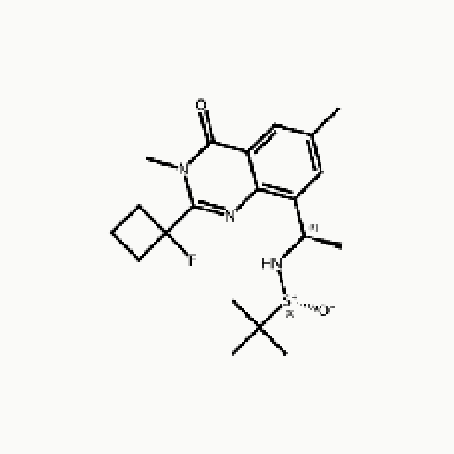 Cc1cc([C@@H](C)N[S@+]([O-])C(C)(C)C)c2nc(C3(F)CCC3)n(C)c(=O)c2c1